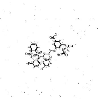 C[SH](O)(Cc1cc(OCCCCN(c2cc(F)ccc2-c2nc(Cl)ncc2F)S(=O)(=O)c2ccccc2[N+](=O)[O-])cc([N+](=O)[O-])c1)=NC(=O)O